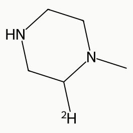 [2H]C1CNCCN1C